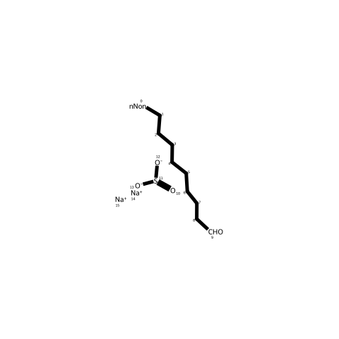 CCCCCCCCCCCCCCCCCC=O.O=S([O-])[O-].[Na+].[Na+]